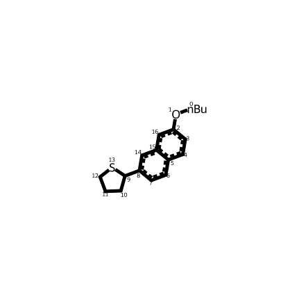 CCCCOc1ccc2ccc(C3CCCS3)cc2c1